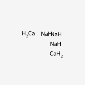 [CaH2].[CaH2].[NaH].[NaH].[NaH]